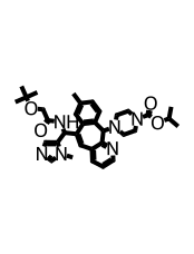 Cc1ccc2c(c1)C(C(NC(=O)COC(C)(C)C)c1cncn1C)=Cc1cccnc1C2N1CCN(C(=O)OC(C)C)CC1